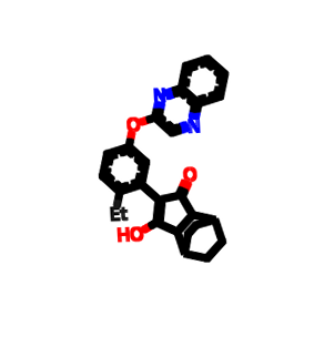 CCc1ccc(Oc2cnc3ccccc3n2)cc1C1=C(O)C2C3CCC(CC3)C2C1=O